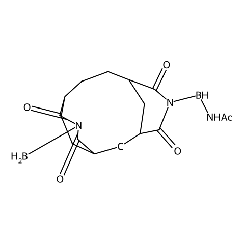 BN1C(=O)C2CCC(CC3CC(CC2)C(=O)N(BNC(C)=O)C3=O)C1=O